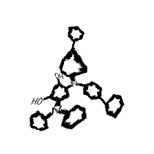 Oc1cc(O)c(N(c2ccc(-c3ccccc3)cc2)c2ccc(-c3ccccc3)cc2)cc1N(c1ccccc1)c1ccccc1